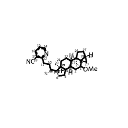 COC1C[C@H]2[C@@H]3CC[C@H]([C@H](C)CCc4ncccc4C#N)[C@@]3(C)CC[C@@H]2[C@@]2(C)CC[C@@H]3C[C@]132